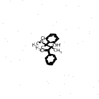 CN(C)C(C)(c1ccccc1)C(C)(O)C(=O)c1ccccc1